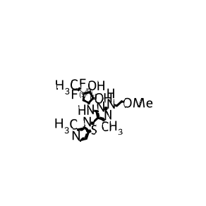 COCCNc1nc(C)c(-c2nc3c(C)nccc3s2)c(NC2C[C@H](C(C)(F)F)[C@@H](O)[C@H]2O)n1